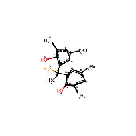 CCCCc1cc(C)c(O)c(C(C)(P)c2cc(CCCC)cc(C)c2O)c1